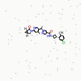 Cc1cc(N2C[C@H]3C[C@H]3C2=O)ncc1[C@@H](C)n1cc(C(=O)N[C@H]2C[C@@H](c3cc(Cl)ccc3C#N)C2)cn1